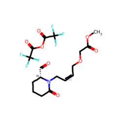 COC(=O)COC/C=C\CN1C(=O)CCC[C@@H]1C=O.O=C(OC(=O)C(F)(F)F)C(F)(F)F